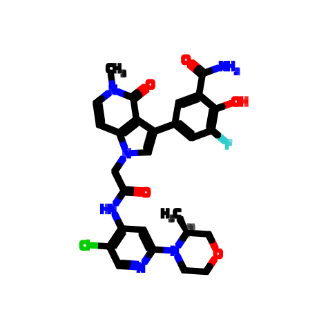 C[C@H]1COCCN1c1cc(NC(=O)Cn2cc(-c3cc(F)c(O)c(C(N)=O)c3)c3c(=O)n(C)ccc32)c(Cl)cn1